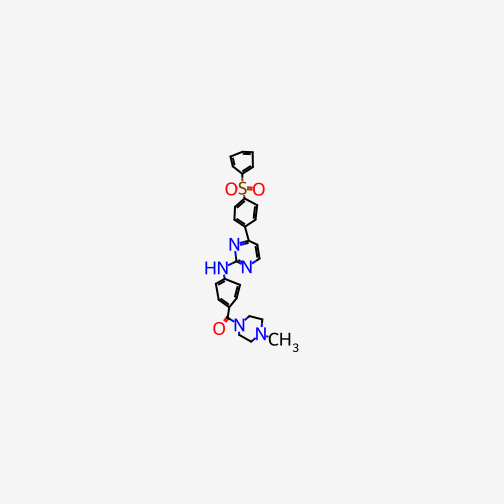 CN1CCN(C(=O)c2ccc(Nc3nccc(-c4ccc(S(=O)(=O)c5ccccc5)cc4)n3)cc2)CC1